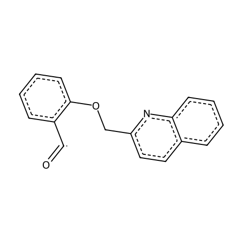 O=[C]c1ccccc1OCc1ccc2ccccc2n1